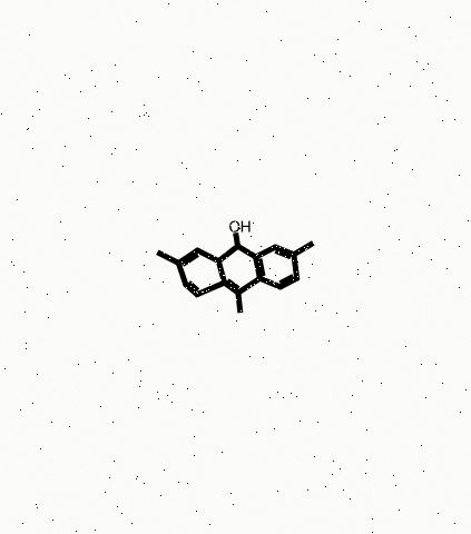 CC1=CC2C(=C(C)c3ccc(C)cc3C2O)C=C1